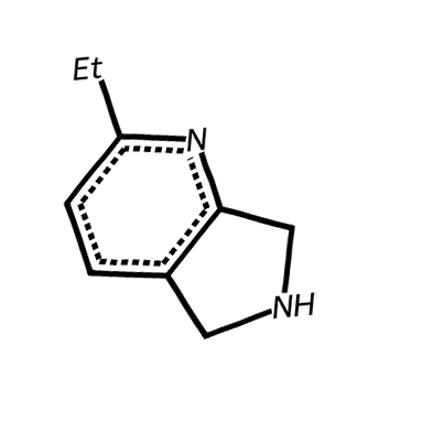 CCc1ccc2c(n1)CNC2